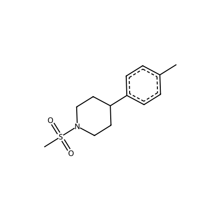 Cc1ccc(C2CCN(S(C)(=O)=O)CC2)cc1